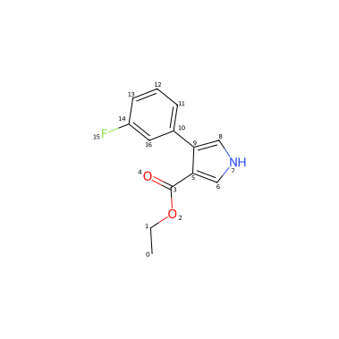 CCOC(=O)c1c[nH]cc1-c1cccc(F)c1